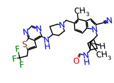 Cc1c(CN2CCC(Nc3ncnc4sc(CC(F)(F)F)cc34)CC2)ccc2c1cc(C#N)n2CC12CC(NC=O)(C1)[C@H]2C